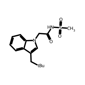 CC(C)(C)Cc1cn(CC(=O)NS(C)(=O)=O)c2ccccc12